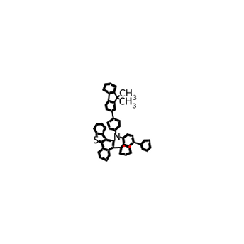 CC1(C)c2ccccc2-c2ccc(-c3ccc(N(c4ccc(-c5ccccc5)cc4)c4c(-c5ccccc5)c5ccccc5c5sc6ccccc6c45)cc3)cc21